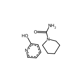 NC(=O)N1CCCCC1.Oc1ccccn1